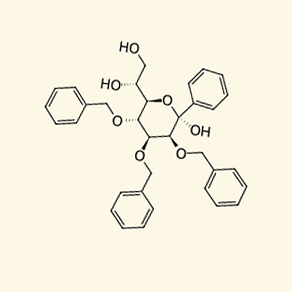 OC[C@@H](O)[C@H]1O[C@@](O)(c2ccccc2)[C@@H](OCc2ccccc2)[C@@H](OCc2ccccc2)[C@@H]1OCc1ccccc1